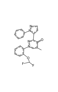 Cc1cn(-c2ccccc2OC(F)F)nc(-c2ccnn2-c2ccccc2)c1=O